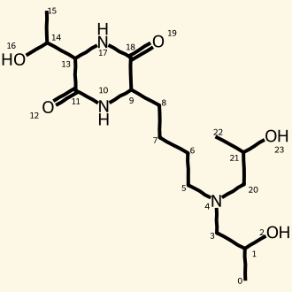 CC(O)CN(CCCCC1NC(=O)C(C(C)O)NC1=O)CC(C)O